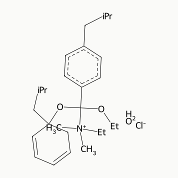 CCOC(OC1(CC(C)C)C=CC=CC1)(c1ccc(CC(C)C)cc1)[N+](C)(C)CC.O.[Cl-]